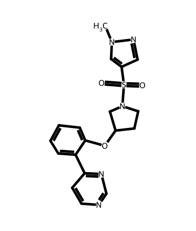 Cn1cc(S(=O)(=O)N2CCC(Oc3ccccc3-c3ccncn3)C2)cn1